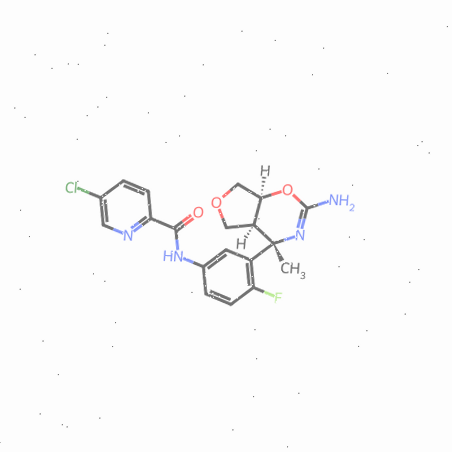 C[C@]1(c2cc(NC(=O)c3ccc(Cl)cn3)ccc2F)N=C(N)O[C@@H]2COC[C@@H]21